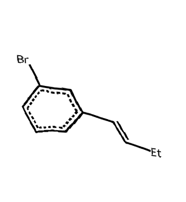 CCC=Cc1cccc(Br)c1